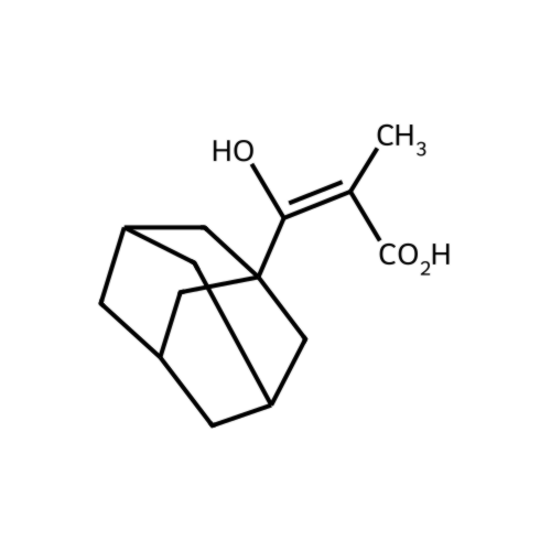 C/C(C(=O)O)=C(\O)C12CC3CC(CC(C3)C1)C2